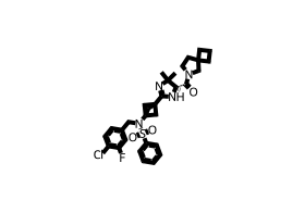 CC1(C)N=C(C23CC(N(Cc4ccc(Cl)c(F)c4)S(=O)(=O)c4ccccc4)(C2)C3)N[C@H]1C(=O)N1CCC2(CCC2)C1